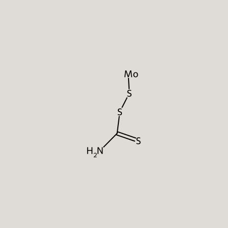 NC(=S)S[S][Mo]